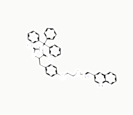 O=C1SC(Cc2ccc(OCCO/N=C/c3cnc4ccccc4c3)cc2)C(=O)N1C(c1ccccc1)(c1ccccc1)c1ccccc1